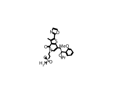 COc1ccccc1[C@H](Cc1cn(CCS(N)(=O)=O)c(=O)c2c(C)c(-c3ncco3)sc12)OC(C)C